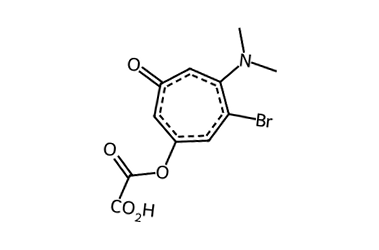 CN(C)c1cc(=O)cc(OC(=O)C(=O)O)cc1Br